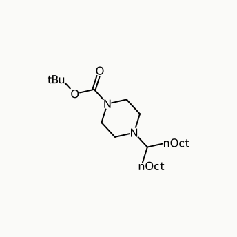 CCCCCCCCC(CCCCCCCC)N1CCN(C(=O)OC(C)(C)C)CC1